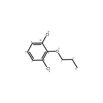 CCCOc1c(Cl)c[c]cc1Cl